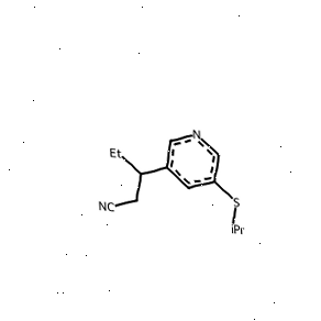 CCC(CC#N)c1cncc(SC(C)C)c1